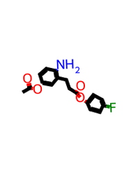 CC(=O)Oc1ccc(N)c(CCC(=O)Oc2ccc(F)cc2)c1